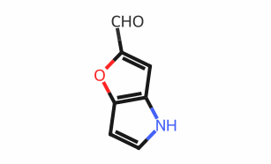 O=Cc1cc2[nH]ccc2o1